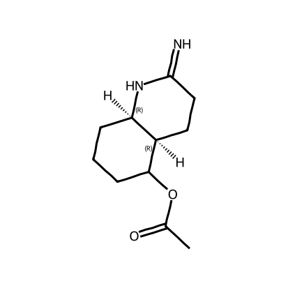 CC(=O)OC1CCC[C@H]2NC(=N)CC[C@@H]12